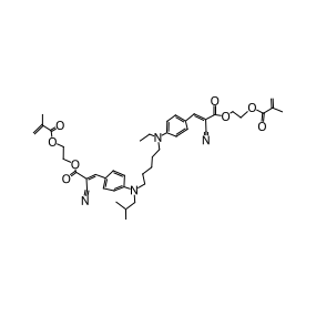 C=C(C)C(=O)OCCOC(=O)/C(C#N)=C/c1ccc(N(CC)CCCCCN(CC(C)C)c2ccc(/C=C(\C#N)C(=O)OCCOC(=O)C(=C)C)cc2)cc1